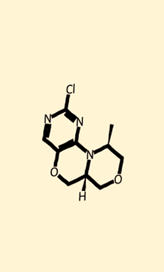 C[C@H]1COC[C@@H]2COc3cnc(Cl)nc3N21